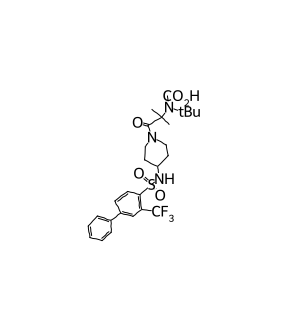 CC(C)(C)N(C(=O)O)C(C)(C)C(=O)N1CCC(NS(=O)(=O)c2ccc(-c3ccccc3)cc2C(F)(F)F)CC1